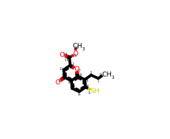 CCCc1c(S)ccc2c(=O)cc(C(=O)OC)oc12